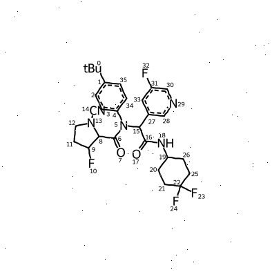 CC(C)(C)c1ccc(N(C(=O)C2C(F)CCN2C#N)C(C(=O)NC2CCC(F)(F)CC2)c2cncc(F)c2)cc1